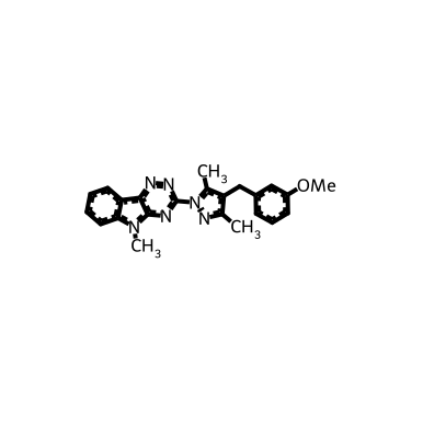 COc1cccc(Cc2c(C)nn(-c3nnc4c5ccccc5n(C)c4n3)c2C)c1